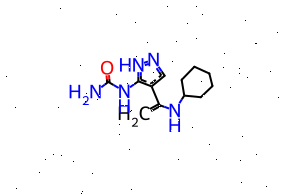 C=C(NC1CCCCC1)c1cn[nH]c1NC(N)=O